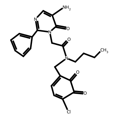 CCCCN(CC1=CC=C(Cl)C(=O)C1=O)C(=O)Cn1c(-c2ccccc2)ncc(N)c1=O